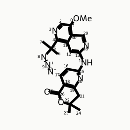 COc1cnc(C(C)(C)N=[N+]=[N-])c2cc(Nc3ccc4c(n3)CC(C)(C)OC4=O)ncc12